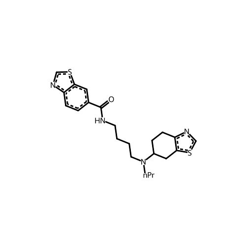 CCCN(CCCCNC(=O)c1ccc2ncsc2c1)C1CCc2ncsc2C1